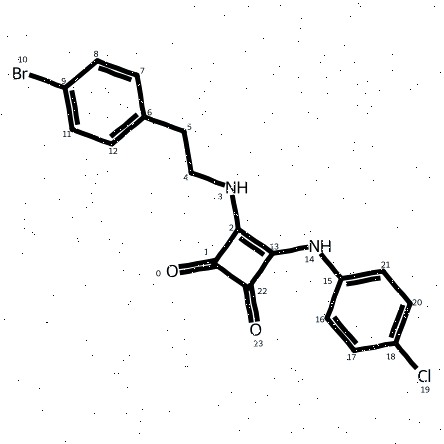 O=c1c(NCCc2ccc(Br)cc2)c(Nc2ccc(Cl)cc2)c1=O